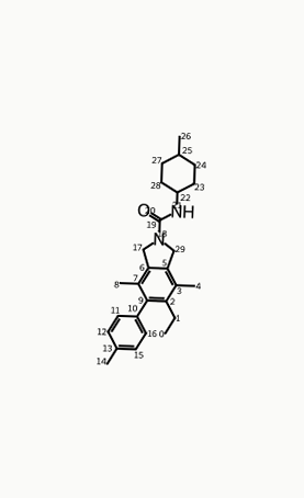 CCc1c(C)c2c(c(C)c1-c1ccc(C)cc1)CN(C(=O)NC1CCC(C)CC1)C2